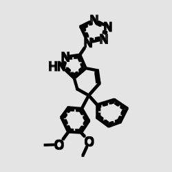 COc1ccc(C2(c3ccccc3)C=Cc3c(-n4cnnn4)n[nH]c3C2)cc1OC